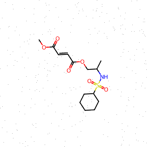 COC(=O)/C=C/C(=O)OCC(C)NS(=O)(=O)C1CCCCC1